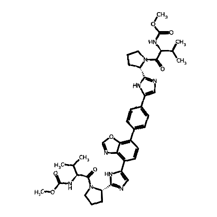 COC(=O)N[C@H](C(=O)N1CCC[C@H]1c1ncc(-c2ccc(-c3ccc(-c4cnc([C@@H]5CCCN5C(=O)[C@@H](NC(=O)OC)C(C)C)[nH]4)c4ncoc34)cc2)[nH]1)C(C)C